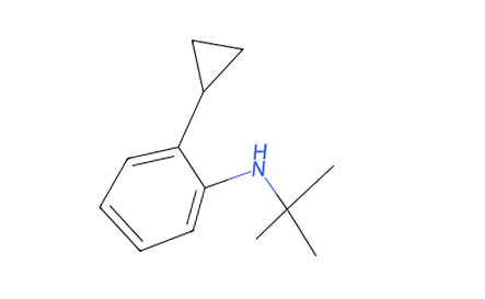 CC(C)(C)Nc1ccccc1C1CC1